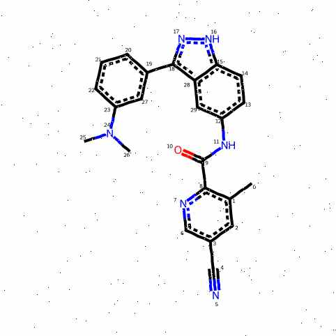 Cc1cc(C#N)cnc1C(=O)Nc1ccc2[nH]nc(-c3cccc(N(C)C)c3)c2c1